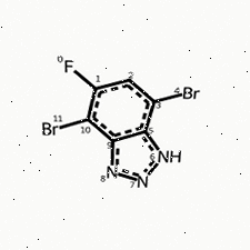 Fc1cc(Br)c2[nH]nnc2c1Br